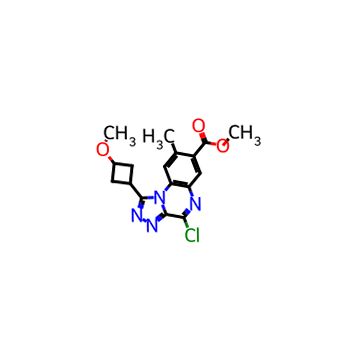 COC(=O)c1cc2nc(Cl)c3nnc(C4CC(OC)C4)n3c2cc1C